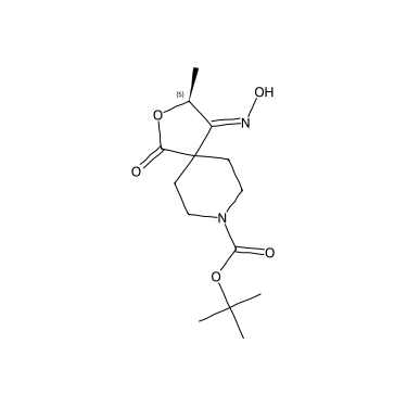 C[C@@H]1OC(=O)C2(CCN(C(=O)OC(C)(C)C)CC2)C1=NO